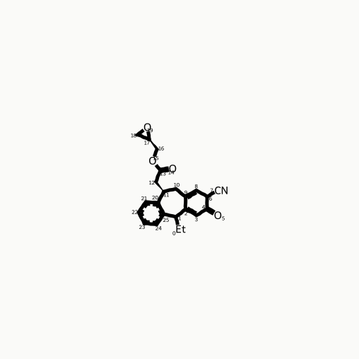 CCC1C2=CC(=O)C(C#N)C=C2C[C@H](CC(=O)OC[C@H]2CO2)c2ccccc21